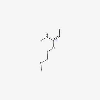 C/C=C(\NC)OCCOC